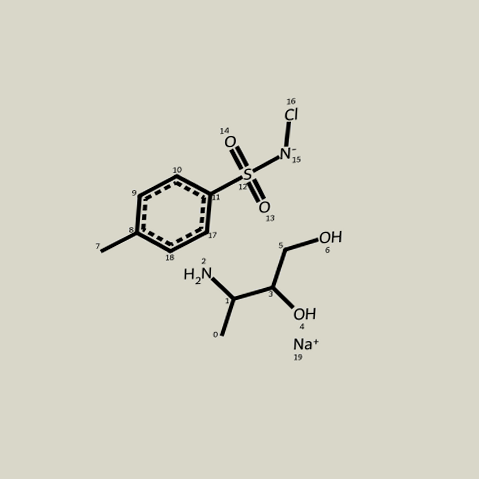 CC(N)C(O)CO.Cc1ccc(S(=O)(=O)[N-]Cl)cc1.[Na+]